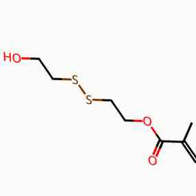 C=C(C)C(=O)OCCSSCCO